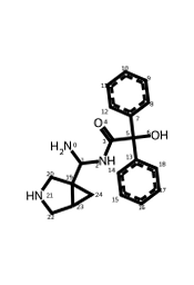 NC(NC(=O)C(O)(c1ccccc1)c1ccccc1)C12CNCC1C2